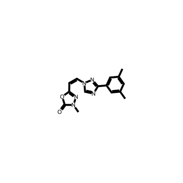 Cc1cc(C)cc(-c2ncn(/C=C\c3nn(C)c(=O)o3)n2)c1